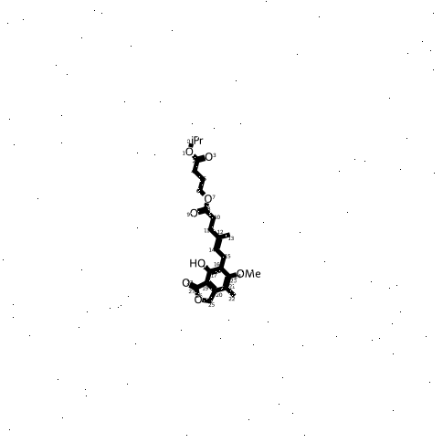 [CH2]C([CH2])OC(=O)CCCOC(=O)CC/C(C)=C/Cc1c(O)c2c(c(C)c1OC)COC2=O